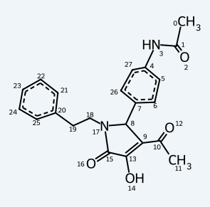 CC(=O)Nc1ccc(C2C(C(C)=O)=C(O)C(=O)N2CCc2ccccc2)cc1